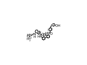 CC(=O)NCCNC1CCCn2nc(C(=O)Nc3cccc(-c4cccc(NC(=O)c5ccc(CN6CC[C@@H](O)C6)cn5)c4Cl)c3Cl)cc21